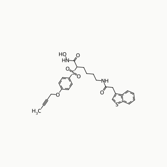 CC#CCOc1ccc(S(=O)(=O)C(CCCCNC(=O)Cc2csc3ccccc23)C(=O)NO)cc1